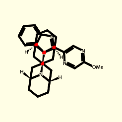 COc1cnc(-c2nc3ccccc3n2[C@@H]2C[C@H]3CCC[C@@H](C2)N3[C@@H]2C[C@@H]3CCC[C@@H](C3)C2)cn1